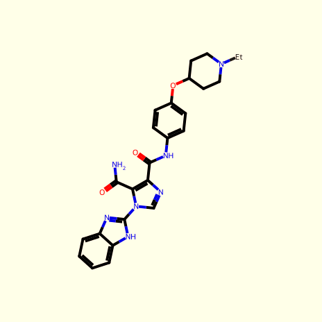 CCN1CCC(Oc2ccc(NC(=O)c3ncn(-c4nc5ccccc5[nH]4)c3C(N)=O)cc2)CC1